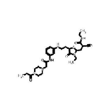 CCNC(=O)C(C#N)CC1SC(CCNc2cccc(NC(=O)CN3CCN(C(=O)CC)CC3)c2)C(=O)N1CC